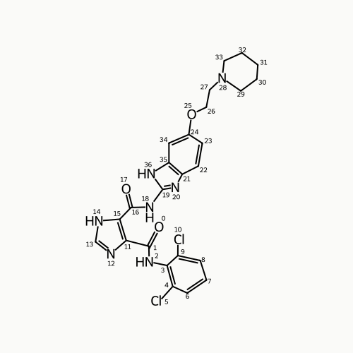 O=C(Nc1c(Cl)cccc1Cl)c1nc[nH]c1C(=O)Nc1nc2ccc(OCCN3CCCCC3)cc2[nH]1